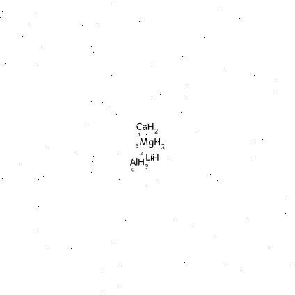 [AlH3].[CaH2].[LiH].[MgH2]